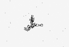 CC(C)(C)OC(=O)N1CC(C=O)C[C@H]1Cn1cc(I)cn1